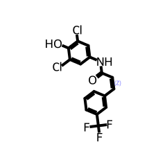 O=C(/C=C\c1cccc(C(F)(F)F)c1)Nc1cc(Cl)c(O)c(Cl)c1